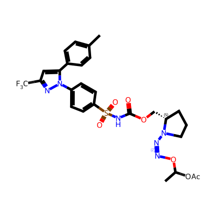 CC(=O)OC(C)O/N=N\N1CCC[C@H]1COC(=O)NS(=O)(=O)c1ccc(-n2nc(C(F)(F)F)cc2-c2ccc(C)cc2)cc1